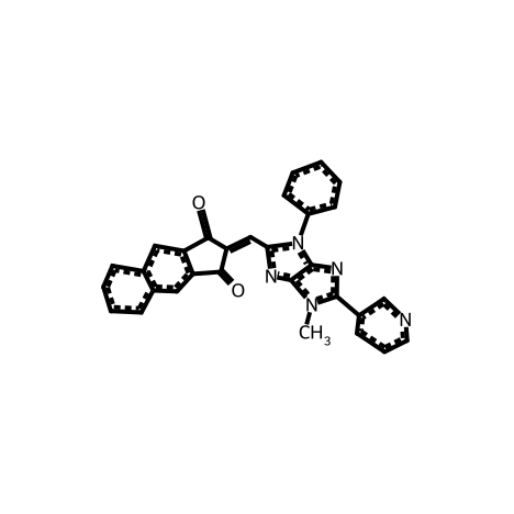 Cn1c(-c2cccnc2)nc2c1nc(C=C1C(=O)c3cc4ccccc4cc3C1=O)n2-c1ccccc1